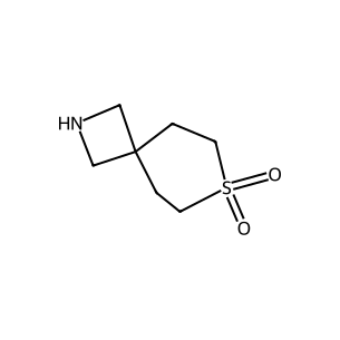 O=S1(=O)CCC2(CC1)CNC2